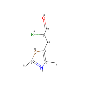 Cc1nc(C)c(CC(Br)C=O)s1